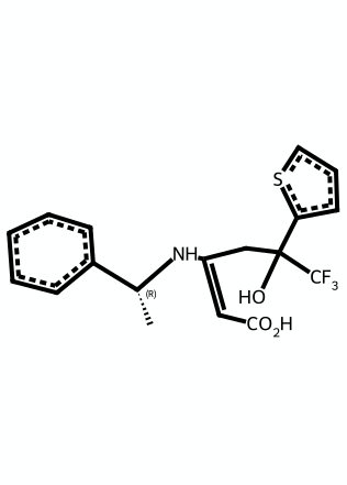 C[C@@H](NC(=CC(=O)O)CC(O)(c1cccs1)C(F)(F)F)c1ccccc1